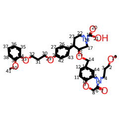 COCCCN1C(=O)COc2ccc(COC3CN(C(=O)O)CCC3c3ccc(OCCCOc4ccccc4OC)cc3)cc21